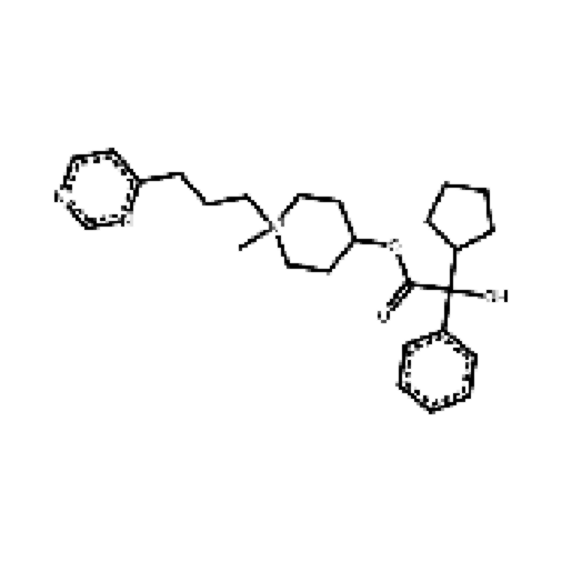 C[N+]1(CCCc2ccncn2)CCC(OC(=O)C(O)(c2ccccc2)C2CCCC2)CC1